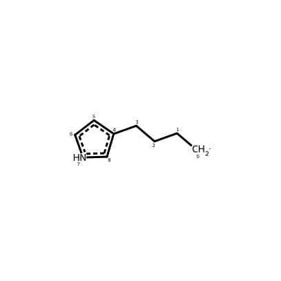 [CH2]CCCc1cc[nH]c1